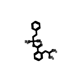 CC(C)Cc1ccccc1C(=O)OC(C)(C)CCc1ccccc1